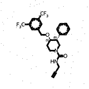 C#CCNC(=O)N1CC[C@H](OCc2cc(C(F)(F)F)cc(C(F)(F)F)c2)[C@H](c2ccccc2)C1